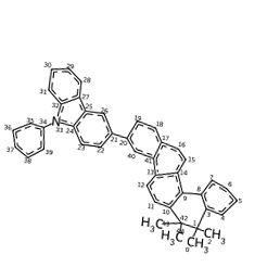 CC1(C)c2ccccc2-c2c(ccc3c2ccc2ccc(-c4ccc5c(c4)c4ccccc4n5-c4ccccc4)cc23)C1(C)C